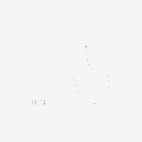 CSc1cc[c]c(CN)c1